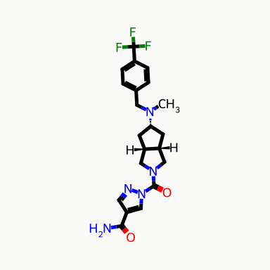 CN(Cc1ccc(C(F)(F)F)cc1)[C@@H]1C[C@@H]2CN(C(=O)n3cc(C(N)=O)cn3)C[C@@H]2C1